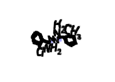 Cc1ccccc1/C(N)=N/N=C(\N)c1ccccc1Cl